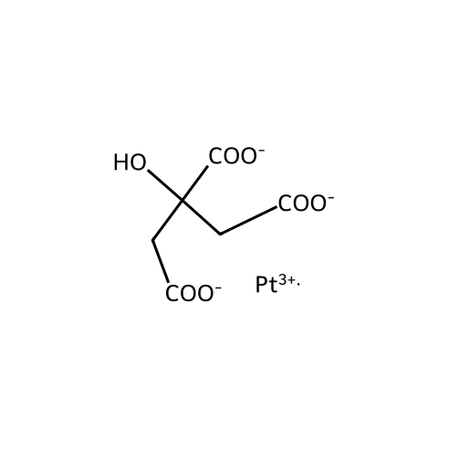 O=C([O-])CC(O)(CC(=O)[O-])C(=O)[O-].[Pt+3]